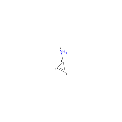 NC1C=C1